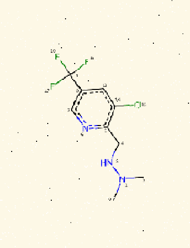 CN(C)NCc1ncc(C(F)(F)F)cc1Cl